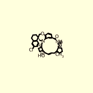 C[C@@]12C/C=C/[C@H](O)[C@@H]3CC[C@H]3CN3C[C@@]4(CCCc5cc(Cl)ccc54)COc4ccc(cc43)C(=O)NS(=O)(=O)[C@H]1CCC2